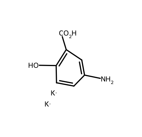 Nc1ccc(O)c(C(=O)O)c1.[K].[K]